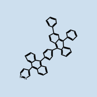 c1ccc(-c2ccc3c(-c4ccc(-c5c6ccccc6c(-c6ccnnc6)c6ccccc56)cc4)c4ccccc4c(-c4ccccc4)c3c2)cc1